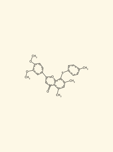 COc1ccc(-c2cc(=O)c3c(C)cc(C)c(Sc4ccc(C)cc4)c3o2)cc1OC